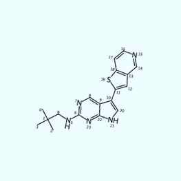 CC(C)(C)CNc1ncc2c(-c3cc4cnccc4s3)c[nH]c2n1